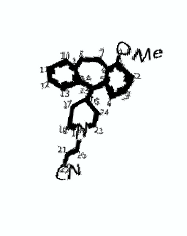 COc1cccc2c1CCc1ccccc1C2C1CCN(CCC#N)CC1